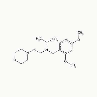 COc1ccc(CN(CCN2CCOCC2)C(C)C)c(OC)c1